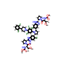 COC(=O)N[C@H](C(=O)N1CCC[C@H]1c1nc2cc([C@H]3CC[C@H](c4cc5nc([C@@H]6CCCN6C(=O)[C@@H](NC(=O)OC)[C@@H](C)OC)[nH]c5cc4F)N3c3cc(F)c(N4CCC(c5c(F)cccc5F)CC4)c(F)c3)c(F)cc2[nH]1)[C@@H](C)OC